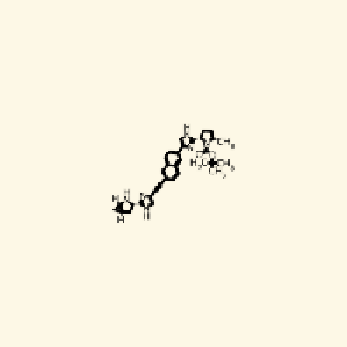 C[C@H]1CC[C@@H](c2nc(-c3ccc4cc(C#Cc5c[nH]c([C@@H]6C[C@H]7C[C@H]7N6)n5)ccc4c3)c[nH]2)N1C(=O)OC(C)(C)C